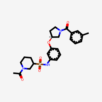 CC(=O)N1CCCC(S(=O)(=O)Nc2cccc(O[C@H]3CCN(C(=O)c4cccc(C)c4)C3)c2)C1